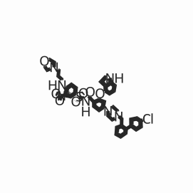 O=C(NS(=O)(=O)c1ccc(NCCCN2CCOCC2)c([N+](=O)[O-])c1)c1ccc(N2CCN(Cc3ccccc3-c3ccc(Cl)cc3)CC2)cc1Oc1cccc2[nH]ccc12